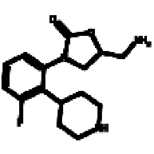 NCC1CN(c2cccc(F)c2C2CCNCC2)C(=O)O1